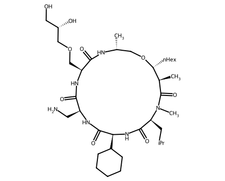 CCCCCC[C@H]1OC[C@@H](C)NC(=O)[C@H](COC[C@@H](O)CO)NC(=O)[C@H](CN)NC(=O)[C@H](C2CCCCC2)NC(=O)[C@H](CC(C)C)N(C)C(=O)[C@@H]1C